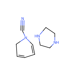 C1CNCCN1.N#CN1C=CC=CC1